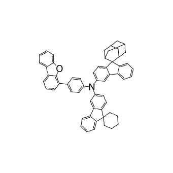 c1ccc2c(c1)-c1cc(N(c3ccc(-c4cccc5c4oc4ccccc45)cc3)c3ccc4c(c3)-c3ccccc3C43C4CC5CC(C4)CC3C5)ccc1C21CCCCC1